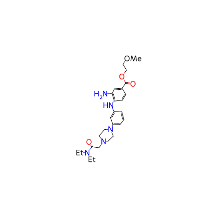 CCN(CC)C(=O)CN1CCN(c2cccc(Nc3ccc(C(=O)OCCOC)cc3N)c2)CC1